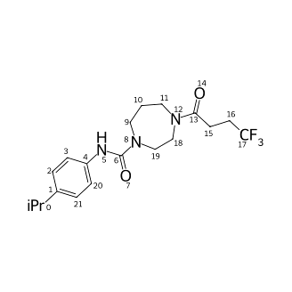 CC(C)c1ccc(NC(=O)N2CCCN(C(=O)CCC(F)(F)F)CC2)cc1